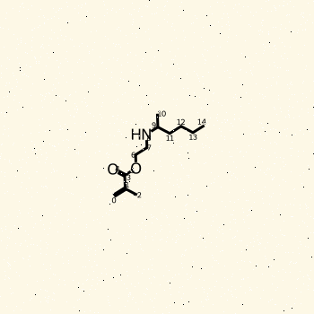 C=C(C)C(=O)OCCNC(C)CCCC